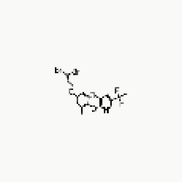 Cc1cc(OCC=C(Br)Br)ccc1Oc1ncc(C(F)(F)F)cc1Cl